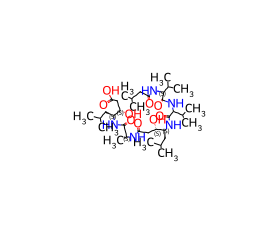 CC(C)CC(=O)N[C@H](C(=O)NC(C(=O)N[C@@H](CC(C)C)[C@@H](O)CC(=O)N[C@@H](C)C(=O)N[C@@H](CC(C)C)[C@@H](O)CC(=O)O)C(C)C)C(C)C